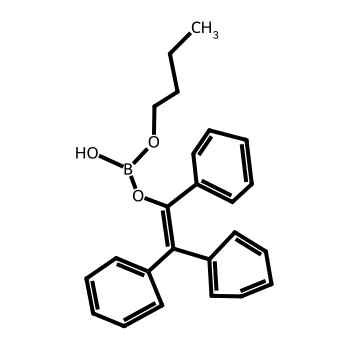 CCCCOB(O)OC(=C(c1ccccc1)c1ccccc1)c1ccccc1